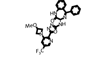 COC1CN(c2cc(C(F)(F)F)cnc2-c2nnc(N[C@H]3N=C(c4ccccc4)c4ccccc4NC3=O)o2)C1